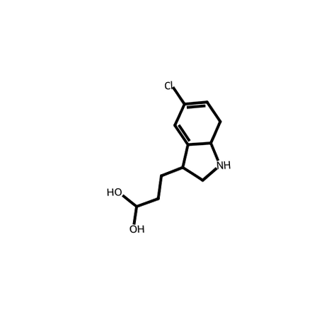 OC(O)CCC1CNC2CC=C(Cl)C=C12